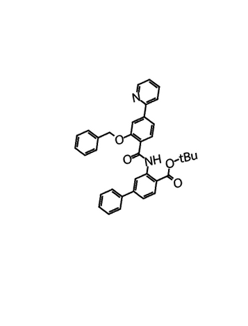 CC(C)(C)OC(=O)c1ccc(-c2ccccc2)cc1NC(=O)c1ccc(-c2ccccn2)cc1OCc1ccccc1